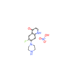 O=[N+]([O-])O.O=c1cc[nH]c2cc(N3CCNCC3)c(F)cc12